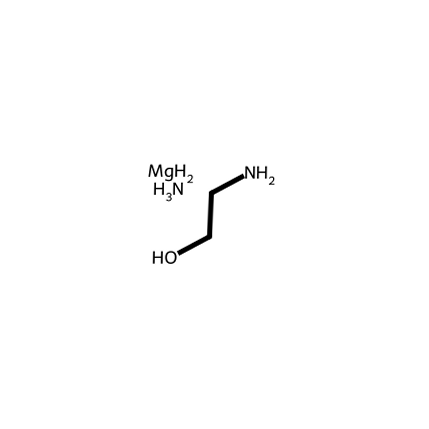 N.NCCO.[MgH2]